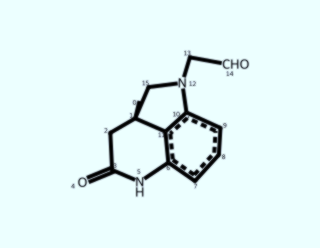 CC12CC(=O)Nc3cccc(c31)N(CC=O)C2